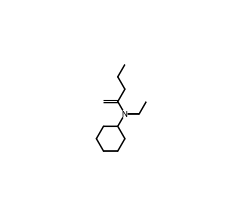 C=C(CCC)N(CC)C1CCCCC1